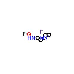 CCOCCNc1ccc2c(ccc3c[n+]4c5ccccc5ccc4n32)c1.[I-]